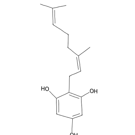 CC(C)=CCCC(C)=CCc1c(O)cc(O)cc1O